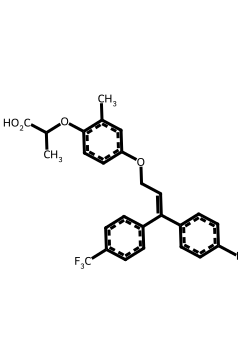 Cc1cc(OCC=C(c2ccc(I)cc2)c2ccc(C(F)(F)F)cc2)ccc1OC(C)C(=O)O